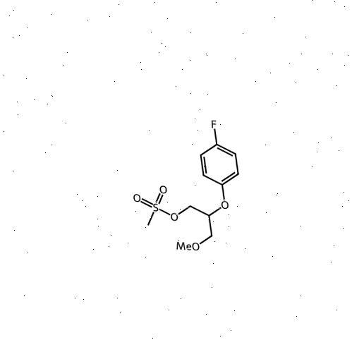 COCC(COS(C)(=O)=O)Oc1ccc(F)cc1